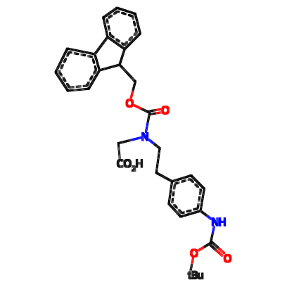 CC(C)(C)OC(=O)Nc1ccc(CCN(CC(=O)O)C(=O)OCC2c3ccccc3-c3ccccc32)cc1